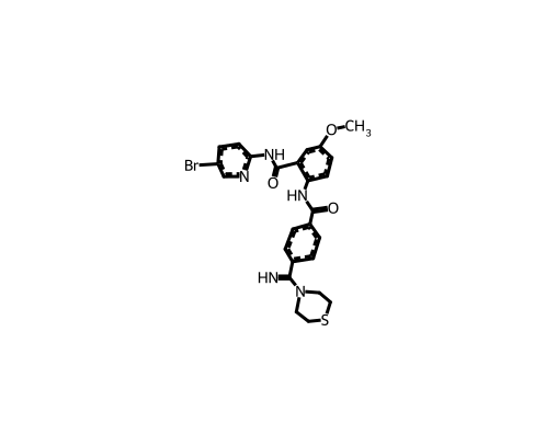 COc1ccc(NC(=O)c2ccc(C(=N)N3CCSCC3)cc2)c(C(=O)Nc2ccc(Br)cn2)c1